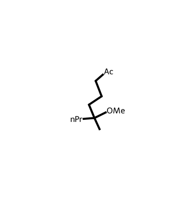 CCCC(C)(CCCC(C)=O)OC